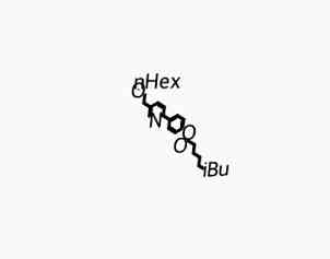 CCCCCCOCCc1ccc(-c2ccc(OC(=O)CCCCC(C)CC)cc2)nc1